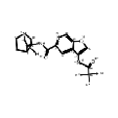 O=C(N[C@H]1CN2CCC1CC2)c1cc2c(NC(=O)C(F)(F)F)coc2cn1